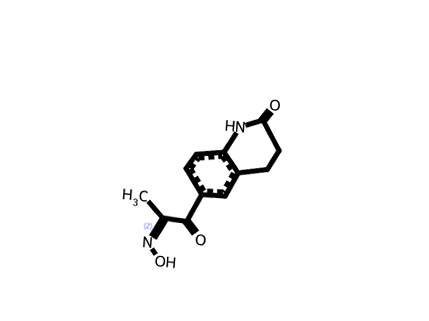 C/C(=N/O)C(=O)c1ccc2c(c1)CCC(=O)N2